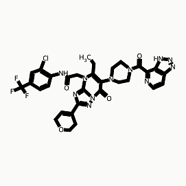 CCc1c(N2CCN(C(=O)c3nccc4nn[nH]c34)CC2)c(=O)n2nc(C3=CCOCC3)nc2n1CC(=O)Nc1ccc(C(F)(F)F)cc1Cl